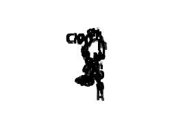 CC1(C)CCC(CN2CCN(c3ccc(C(=O)NS(=O)(=O)c4cc5c(c([N+](=O)[O-])c4)NC(C4CCNCC4)CO5)c(Oc4cnc5[nH]ccc5c4)c3)CC2)=C(c2ccc(Cl)cc2)C1